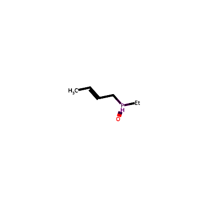 CC=CC[PH](=O)CC